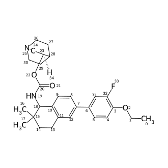 CCOc1ccc(-c2ccc3c(c2)CCC(C)(C)C3NC(=O)O[C@H]2CN3CCC2CC3)cc1F